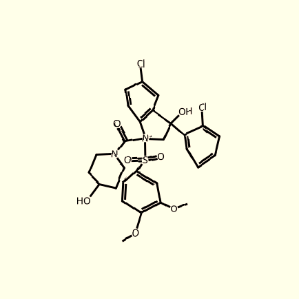 COc1ccc(S(=O)(=O)[N+]2(C(=O)N3CCC(O)CC3)CC(O)(c3ccccc3Cl)c3cc(Cl)ccc32)cc1OC